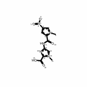 Cn1cc([N+](=O)[O-])cc1C(=O)Nc1cn(C)c(C(=O)O)n1